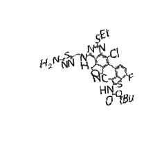 CCSc1nc(NCc2nnc(N)s2)c2c3c(c(-c4ccc(F)c5sc(NC(=O)OC(C)(C)C)c(C#N)c45)c(Cl)c2n1)COC3